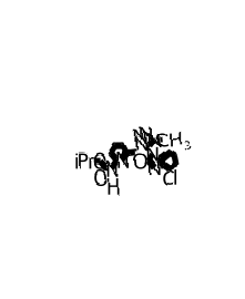 CC(C)OC(=O)Nc1cccc(COc2nc3c(Cl)cccc3n2-c2nnnn2C)n1